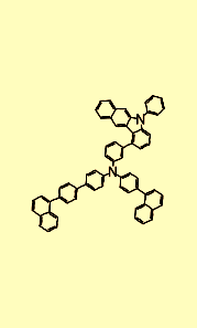 c1ccc(-n2c3cc4ccccc4cc3c3c(-c4cccc(N(c5ccc(-c6ccc(-c7cccc8ccccc78)cc6)cc5)c5ccc(-c6cccc7ccccc67)cc5)c4)cccc32)cc1